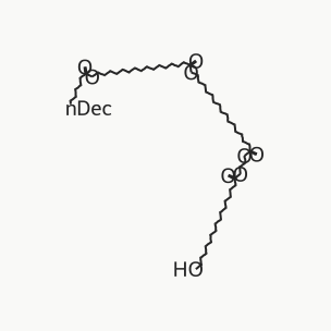 CCCCCCCCCCCCCCCC(=O)OCCCCCCCCCCCCCCCC(=O)OCCCCCCCCCCCCCCCC(=O)OCCOC(=O)CCCCCCCCCCCCCCCO